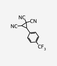 N#CC1C(c2ccc(C(F)(F)F)cc2)C1(C#N)C#N